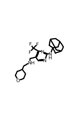 FC(F)(F)c1nc(NC23CC4CC(CC(C4)C2)C3)ncc1CNCC1CCOCC1